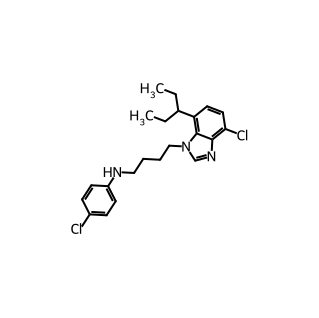 CCC(CC)c1ccc(Cl)c2ncn(CCCCNc3ccc(Cl)cc3)c12